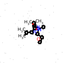 Cc1cc(C)cc(-c2ccc3c(c2)c2cc(-c4cc(C)cc(C)c4)ccc2n3-c2ccc(-c3cccc4c3oc3ccccc34)cc2-c2nc(-c3ccccc3)nc(-c3ccccc3)n2)c1